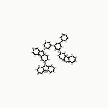 c1ccc(-c2cc(-c3cccc(-n4c5ccccc5c5cc(-n6c7ccccc7c7ccccc76)ccc54)c3)cc(-c3ccc4oc5ccccc5c4c3)c2)cc1